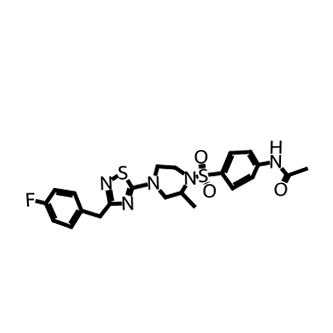 CC(=O)Nc1ccc(S(=O)(=O)N2CCN(c3nc(Cc4ccc(F)cc4)ns3)CC2C)cc1